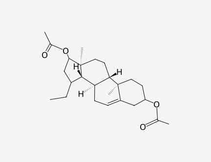 CCC1CC(OC(C)=O)[C@@]2(C)CC[C@H]3[C@@H](CC=C4CC(OC(C)=O)CC[C@@]43C)[C@H]12